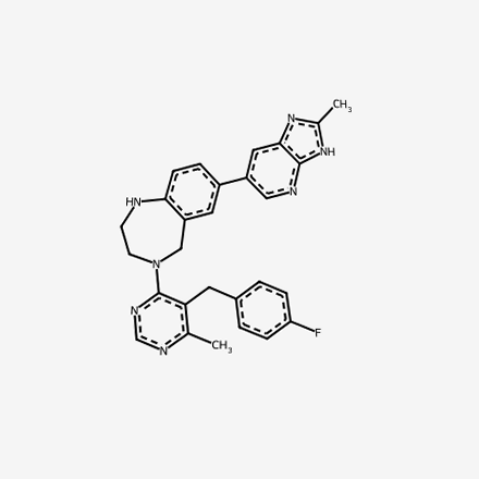 Cc1nc2cc(-c3ccc4c(c3)CN(c3ncnc(C)c3Cc3ccc(F)cc3)CCN4)cnc2[nH]1